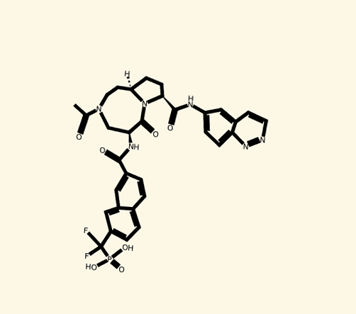 CC(=O)N1CC[C@H]2CC[C@@H](C(=O)Nc3ccc4nnccc4c3)N2C(=O)[C@@H](NC(=O)c2ccc3ccc(C(F)(F)P(=O)(O)O)cc3c2)C1